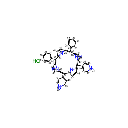 CN1C=CC(c2c3nc(c(C4=CCN(C)C=C4)c4ccc([nH]4)c(-c4ccccc4)c4nc(c(-c5ccccc5)c5ccc2[nH]5)C=C4)C=C3)=CC1.Cl